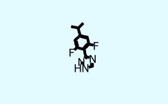 CC(C)c1cc(F)c(-c2nc[nH]n2)c(F)c1